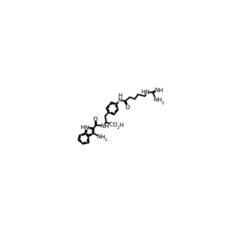 N=C(N)NCCCCC(=O)Nc1ccc(CC(NC(=O)c2[nH]c3ccccc3c2N)C(=O)O)cc1